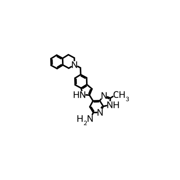 Cc1nc2c(-c3cc4cc(CN5CCc6ccccc6C5)ccc4[nH]3)cc(N)nc2[nH]1